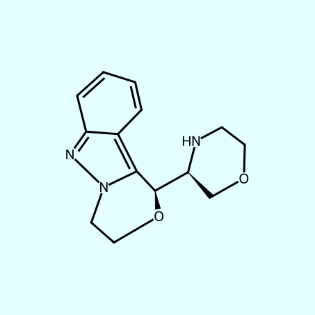 c1ccc2c3n(nc2c1)CCO[C@@H]3[C@@H]1COCCN1